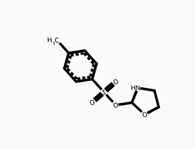 Cc1ccc(S(=O)(=O)OC2NCCO2)cc1